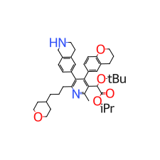 Cc1nc(CCCC2CCOCC2)c(-c2ccc3c(c2)CCNC3)c(-c2ccc3c(c2)CCCO3)c1C(OC(C)(C)C)C(=O)OC(C)C